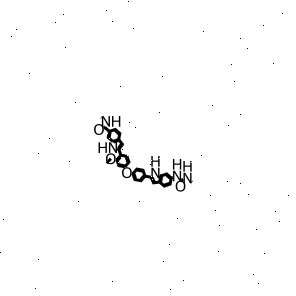 CNC(=O)Nc1ccc2cc(-c3ccc(Oc4ccc(-c5cc6ccc(C(=O)NC)cc6[nH]5)c(OC)c4)cc3)[nH]c2c1